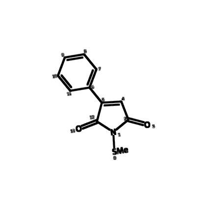 CSN1C(=O)C=C(c2ccccc2)C1=O